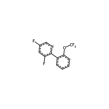 Fc1cnc(-c2ccc[c]c2OC(F)(F)F)c(F)c1